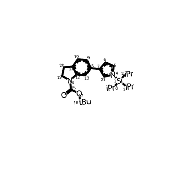 CC(C)[Si](C(C)C)(C(C)C)n1ccc(-c2ccc3c(c2)N(C(=O)OC(C)(C)C)CC3)c1